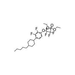 CCCCCC1CCC(c2ccc(OC(F)(F)C(F)(F)P(=O)(OCC)OCC)c(F)c2F)CC1